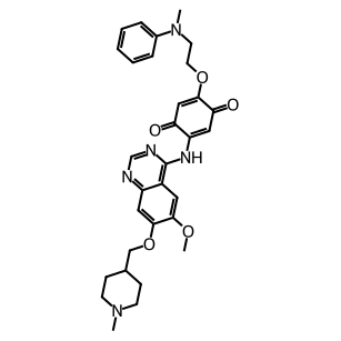 COc1cc2c(NC3=CC(=O)C(OCCN(C)c4ccccc4)=CC3=O)ncnc2cc1OCC1CCN(C)CC1